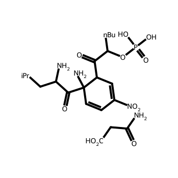 CCCCC(OP(=O)(O)O)C(=O)C1C=C([N+](=O)[O-])C=CC1(N)C(=O)C(N)CC(C)C.NC(=O)CC(=O)O